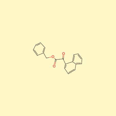 O=C(OCc1ccccc1)C(=O)c1cccc2ccccc12